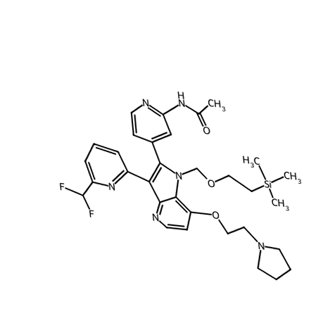 CC(=O)Nc1cc(-c2c(-c3cccc(C(F)F)n3)c3nccc(OCCN4CCCC4)c3n2COCC[Si](C)(C)C)ccn1